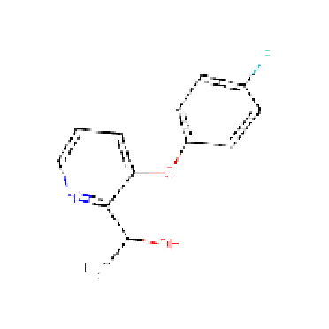 CC(O)c1ncccc1Oc1ccc(F)cc1